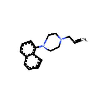 C=CCN1CCN(c2cccc3ccccc23)CC1